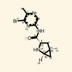 Cc1ncc(NC(=O)[C@@H]2C[C@@]3(C)C[C@H]3N2)nc1Br